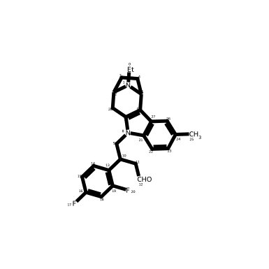 CCN1C2CCC1c1c(n(CC(CC=O)c3ccc(F)cc3F)c3ccc(C)cc13)C2